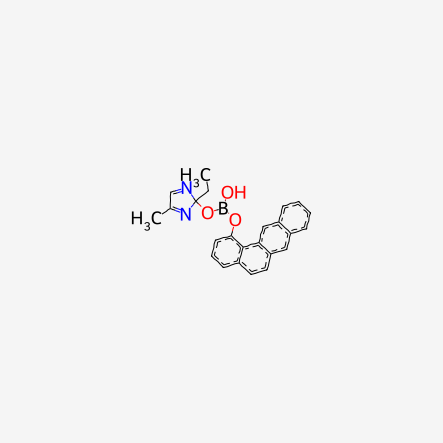 CCC1(OB(O)Oc2cccc3ccc4cc5ccccc5cc4c23)N=CC(C)=N1